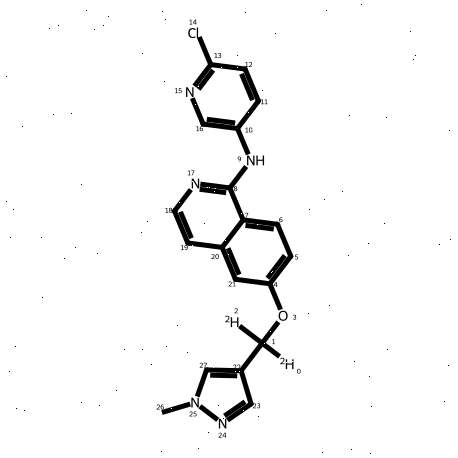 [2H]C([2H])(Oc1ccc2c(Nc3ccc(Cl)nc3)nccc2c1)c1cnn(C)c1